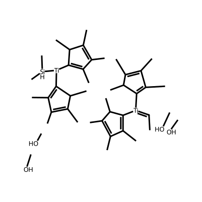 CC1=C(C)C(C)[C]([Ti]([C]2=C(C)C(C)=C(C)C2C)[SiH](C)C)=C1C.CO.CO.CO.CO.C[CH]=[Ti]([C]1=C(C)C(C)=C(C)C1C)[C]1=C(C)C(C)=C(C)C1C